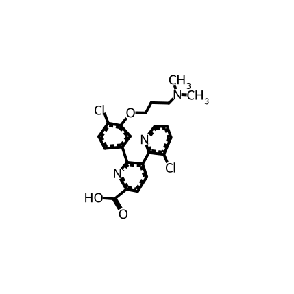 CN(C)CCCOc1cc(-c2nc(C(=O)O)ccc2-c2ncccc2Cl)ccc1Cl